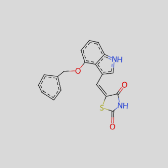 O=C1NC(=O)C(=Cc2c[nH]c3cccc(OCc4ccccc4)c23)S1